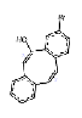 O/C1=C/c2ccccc2/C=C\c2ccc(Br)cc21